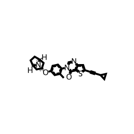 Cc1cc(O[C@H]2C[C@H]3CC[C@@H](C2)N3C)ccc1-n1cnc2cc(C#CC3CC3)sc2c1=O